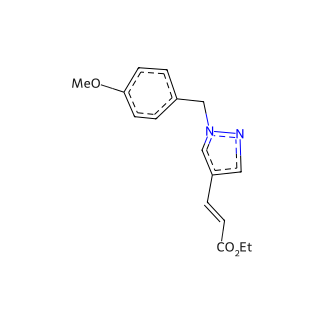 CCOC(=O)/C=C/c1cnn(Cc2ccc(OC)cc2)c1